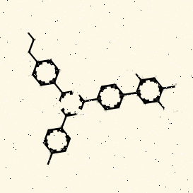 CCCCCCCCCCCCc1ccc(-c2nc(-c3ccc(C)cc3)nc(-c3ccc(-c4cc(CCCCCC)c(C)cc4CCCCCC)cc3)n2)cc1